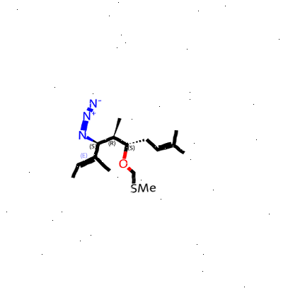 C/C=C(\C)[C@@H](N=[N+]=[N-])[C@@H](C)[C@H](CC=C(C)C)OCSC